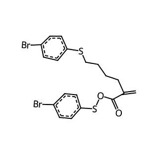 C=C(CCCCSc1ccc(Br)cc1)C(=O)OSc1ccc(Br)cc1